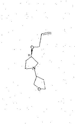 C=CCO[C@@H]1CCN(C2CCOC2)C1